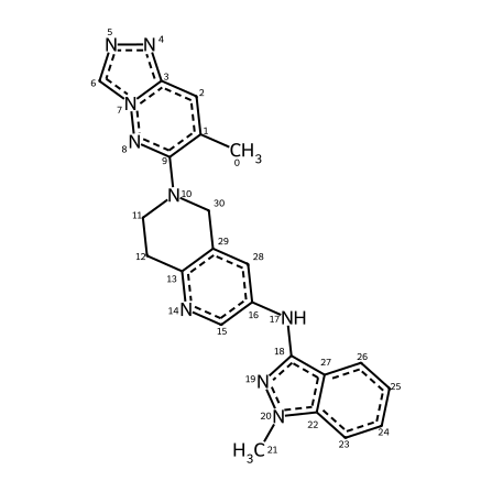 Cc1cc2nncn2nc1N1CCc2ncc(Nc3nn(C)c4ccccc34)cc2C1